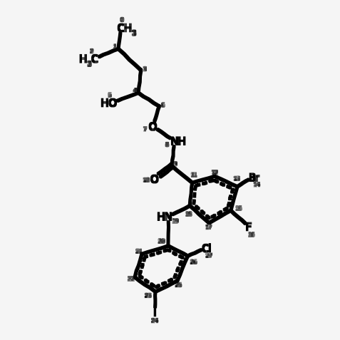 CC(C)CC(O)CONC(=O)c1cc(Br)c(F)cc1Nc1ccc(I)cc1Cl